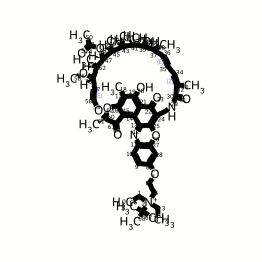 CC[N+](CC)(CCOc1ccc2nc3c4c5c6c(C)c(O)c4c(=O)c(c-3oc2c1)NC(=O)/C(C)=C\C=C\[C@H](C)[C@H](O)[C@@H](C)[C@@H](C)[C@@H](C)[C@H](OC(C)=O)[C@H](C)[C@@H](OC)/C=C/O[C@@](C)(O6)C5=O)C(C)(C)C